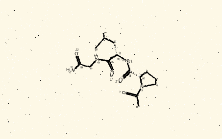 CC(=O)N1CCC[C@H]1C(=O)N[C@@H](CC(C)C)C(=O)NCC(N)=O